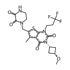 CO[C@H]1C[C@H](n2c(=O)c3c(C)c(CN4CCNC(=O)C4=O)sc3n(CCC(F)(F)F)c2=O)C1